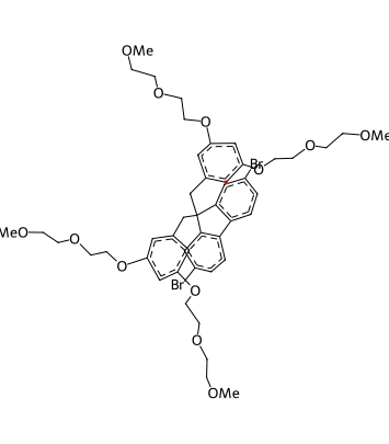 COCCOCCOc1cc(CC2(Cc3cc(OCCOCCOC)cc(OCCOCCOC)c3)c3cc(Br)ccc3-c3ccc(Br)cc32)cc(OCCOCCOC)c1